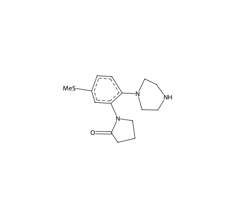 CSc1ccc(N2CCNCC2)c(N2CCCC2=O)c1